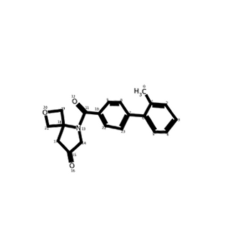 Cc1ccccc1-c1ccc(C(=O)N2CC(=O)CC23COC3)cc1